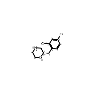 Fc1ccc(C[C@@H]2CNCCO2)c(Cl)c1